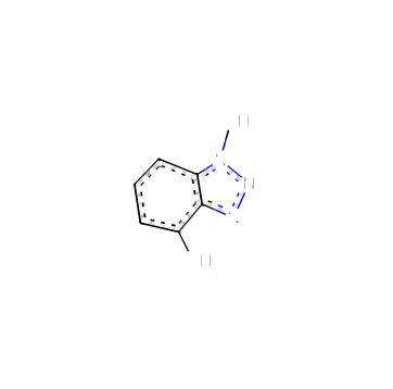 [CH2]c1cccc2c1nnn2C